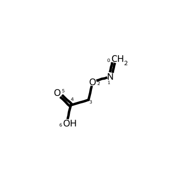 C=NOCC(=O)O